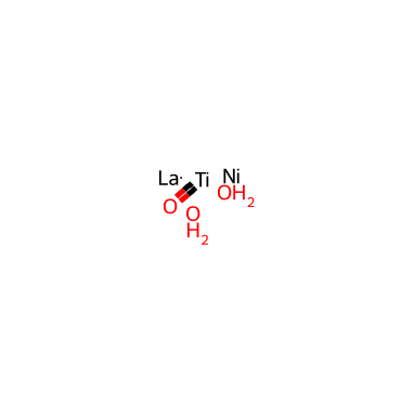 O.O.[La].[Ni].[O]=[Ti]